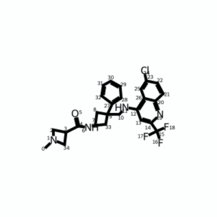 CN1CC(C(=O)NC2CC(CNc3cc(C(F)(F)F)nc4ccc(Cl)cc34)(c3ccccc3)C2)C1